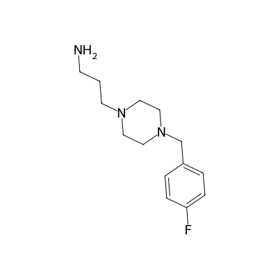 NCCCN1CCN(Cc2ccc(F)cc2)CC1